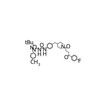 Cc1ccc(-n2nc(C(C)(C)C)cc2NC(=O)Nc2ccc(CC3CCN(C(=O)CCC(=O)c4ccc(F)cc4)CC3)cc2)cc1